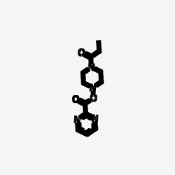 CCC(=O)N1CCN(OC(=O)c2ncccn2)CC1